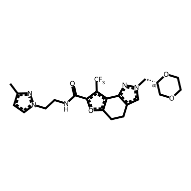 Cc1ccn(CCNC(=O)c2oc3c(c2C(F)(F)F)-c2nn(C[C@H]4COCCO4)cc2CC3)n1